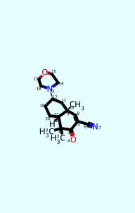 CC1(C)C(=O)C(C#N)=C[C@]2(C)C[C@@H](N3CCOCC3)CC[C@@H]12